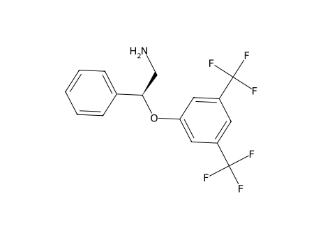 NC[C@@H](Oc1cc(C(F)(F)F)cc(C(F)(F)F)c1)c1ccccc1